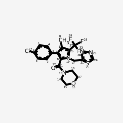 Cc1c(-c2ccc(Cl)cc2)c(C(=O)N2CCOCC2)n(Cc2nncs2)c1C(F)(F)F